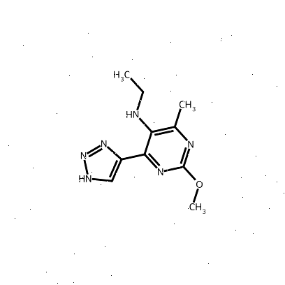 CCNc1c(C)nc(OC)nc1-c1c[nH]nn1